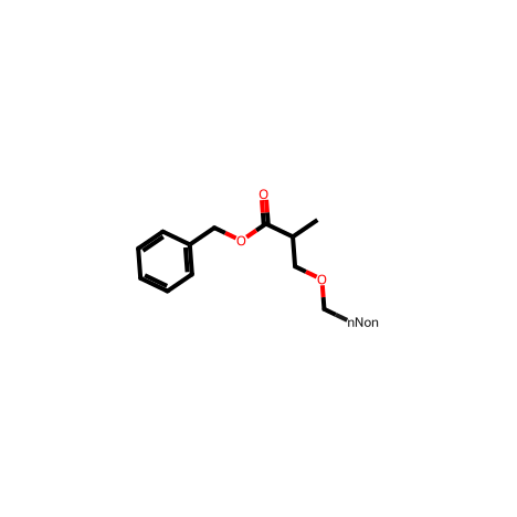 CCCCCCCCCCOCC(C)C(=O)OCc1ccccc1